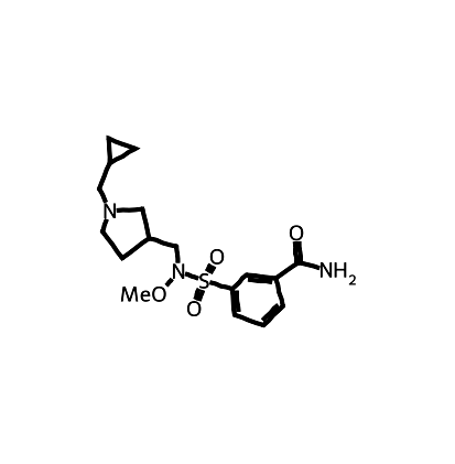 CON(CC1CCN(CC2CC2)C1)S(=O)(=O)c1cccc(C(N)=O)c1